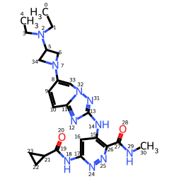 CCN(CC)C1CN(c2ccc3nc(Nc4cc(NC(=O)C5CC5)nnc4C(=O)NC)nn3c2)C1